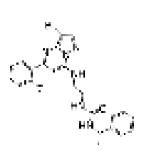 CC(NC(=O)NCCNc1cc(-c2ccccc2Cl)nc2c(Br)cnn12)c1ccccc1